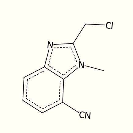 Cn1c(CCl)nc2cccc(C#N)c21